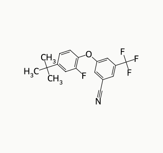 CC(C)(C)c1ccc(Oc2cc(C#N)cc(C(F)(F)F)c2)c(F)c1